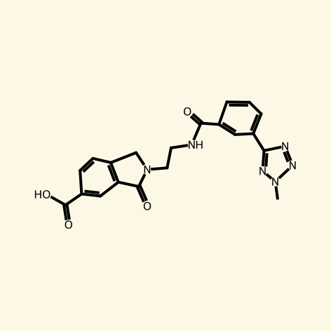 Cn1nnc(-c2cccc(C(=O)NCCN3Cc4ccc(C(=O)O)cc4C3=O)c2)n1